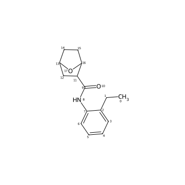 CCc1ccccc1NC(=O)C1CC2CCC1O2